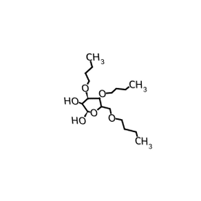 CCCCOCC1O[C@@H](O)C(O)[C@@H](OCCCC)[C@H]1OCCCC